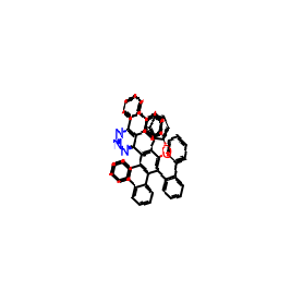 c1ccc(-c2ccccc2-c2nnnc(-c3c(-c4ccccc4)c(-c4ccccc4-c4ccccc4)c(-c4ccccc4-c4ccccc4)c4oc5ccccc5c34)c2-c2ccccc2-c2ccccc2)cc1